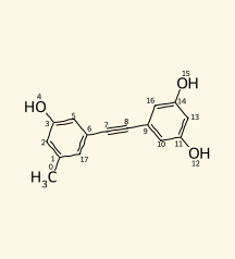 Cc1cc(O)cc(C#Cc2cc(O)cc(O)c2)c1